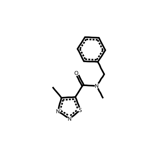 Cc1nnsc1C(=O)N(C)Cc1ccccc1